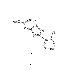 COc1ccc2nc(-c3ncccc3C#N)sc2c1